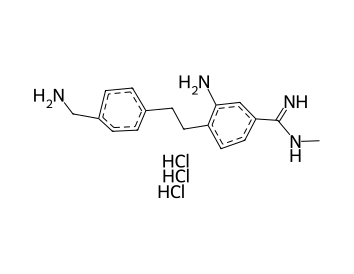 CNC(=N)c1ccc(CCc2ccc(CN)cc2)c(N)c1.Cl.Cl.Cl